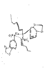 CC=CC=CC(OC(C=CC=CC)(c1ccc2c(c1)OCO2)[N+](=O)[O-])(c1ccc2c(c1)OCO2)[N+](=O)[O-]